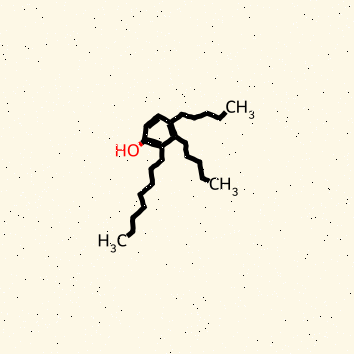 CCCCCCCCc1c(O)ccc(CCCCC)c1CCCCC